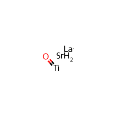 [La].[O]=[Ti].[SrH2]